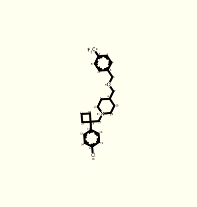 FC(F)(F)c1ccc(COCC2CCN(CC3(c4ccc(Cl)cc4)CCC3)CC2)cc1